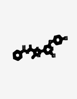 C/C(=N\Nc1ccccc1)c1sc(-c2cc(Cl)nc(Oc3ccc(Cl)cc3)c2)nc1C